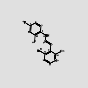 Fc1ccc(N/N=C/c2c(Br)ccnc2F)c(F)c1